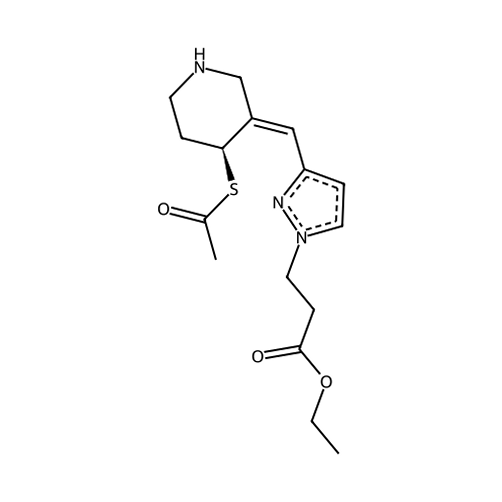 CCOC(=O)CCn1ccc(/C=C2/CNCC[C@@H]2SC(C)=O)n1